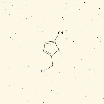 N#Cc1ccc(CO)s1